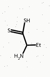 CCC(N)C(=S)S